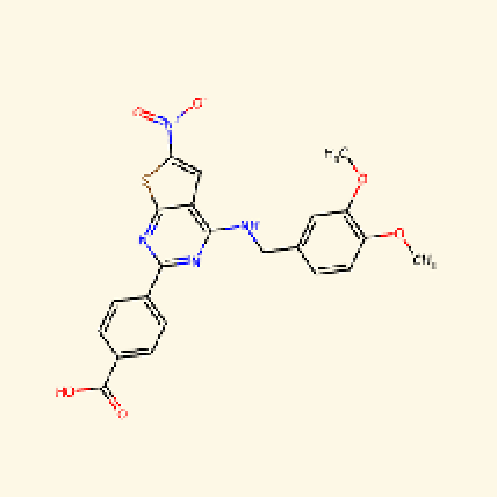 COc1ccc(CNc2nc(-c3ccc(C(=O)O)cc3)nc3sc([N+](=O)[O-])cc23)cc1OC